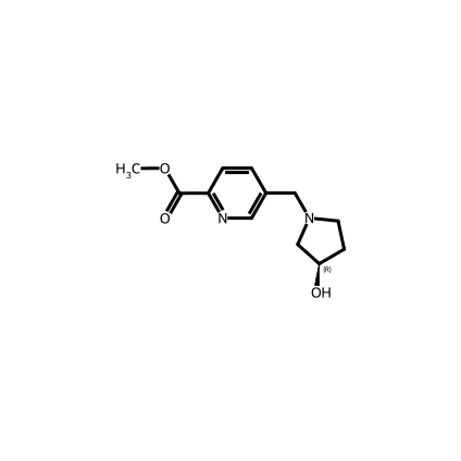 COC(=O)c1ccc(CN2CC[C@@H](O)C2)cn1